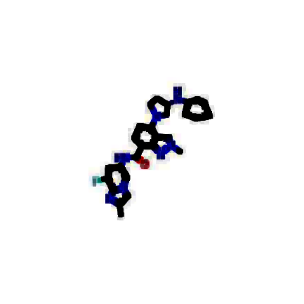 Cc1cn2cc(NC(=O)c3ccc(N4CC[C@H](Nc5ccccc5)C4)c4cn(C)nc34)cc(F)c2n1